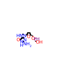 Nc1nc2c(c(=O)[nH]1)NCN2[C@H]1CC[C@@H](COPCO)O1